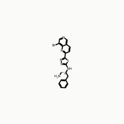 NC[C@@H](Cc1ccccc1)Nc1nnc(-c2ccc3cncc(Br)c3n2)s1